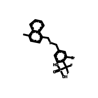 Cc1ccc(CSCc2ccc(C(F)(F)P(=O)(O)O)c(Br)c2)c2ccccc12